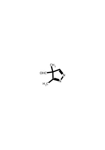 CC1=NN=CC1(C)C=O